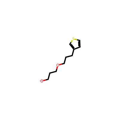 [O]CCCOCCCc1ccsc1